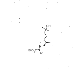 CCOC(=O)C(=NC=C(C)CCCC(C)(C)O)C(C)=O